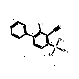 C#Cc1c([Si](C)(C)C)ccc(-c2ccccc2)c1N